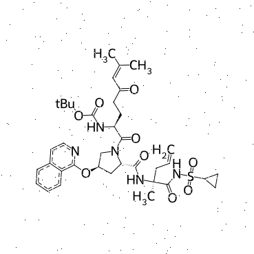 C=CC[C@](C)(NC(=O)[C@@H]1C[C@@H](Oc2nccc3ccccc23)CN1C(=O)[C@H](CCC(=O)C=C(C)C)NC(=O)OC(C)(C)C)C(=O)NS(=O)(=O)C1CC1